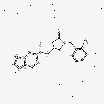 O=C(NC1CC(=O)N(Cc2ccccc2C(F)(F)F)C1)c1ccc2cc[nH]c2c1